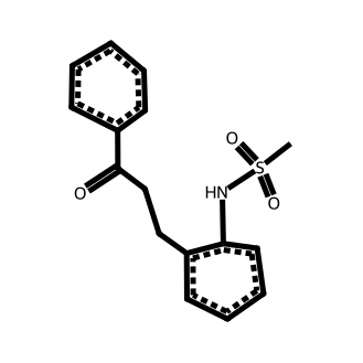 CS(=O)(=O)Nc1ccccc1CCC(=O)c1ccccc1